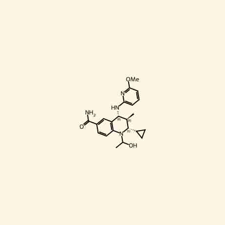 COc1cccc(N[C@H]2c3cc(C(N)=O)ccc3N(C(C)O)[C@@H](C3CC3)[C@@H]2C)n1